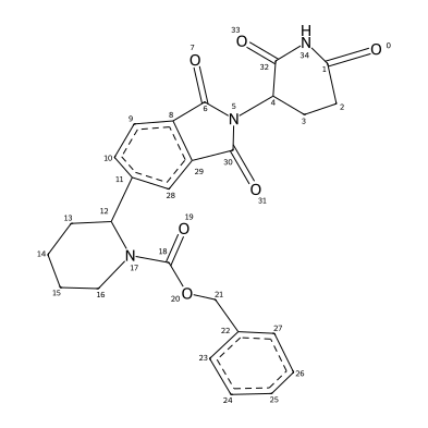 O=C1CCC(N2C(=O)c3ccc(C4CCCCN4C(=O)OCc4ccccc4)cc3C2=O)C(=O)N1